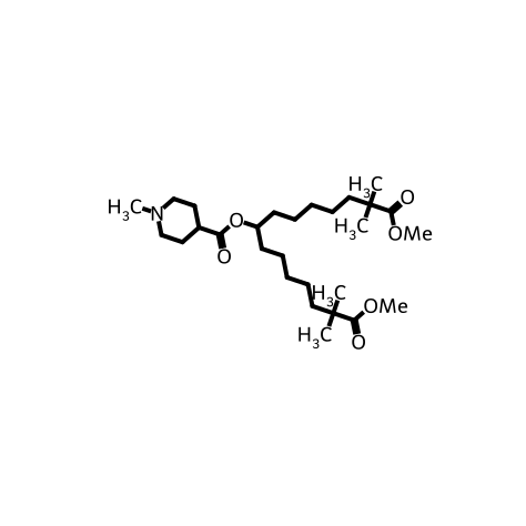 COC(=O)C(C)(C)CCCCCC(CCCCCC(C)(C)C(=O)OC)OC(=O)C1CCN(C)CC1